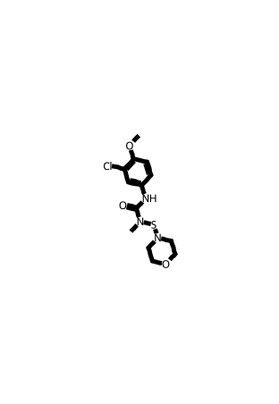 COc1ccc(NC(=O)N(C)SN2CCOCC2)cc1Cl